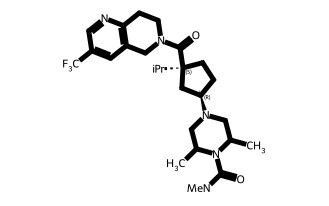 CNC(=O)N1C(C)CN([C@@H]2CC[C@@](C(=O)N3CCc4ncc(C(F)(F)F)cc4C3)(C(C)C)C2)CC1C